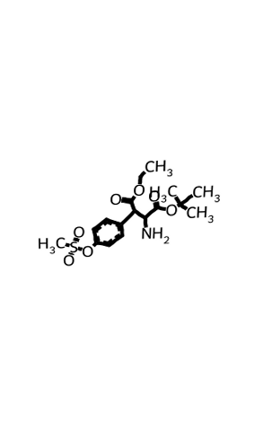 CCOC(=O)C(c1ccc(OS(C)(=O)=O)cc1)C(N)C(=O)OC(C)(C)C